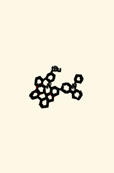 CC(C)(C)c1ccc(N(c2cccc(-c3ccc4c(c3)c3ccccc3n4-c3ccccc3)c2)c2ccccc2-c2cccc3cccc(-c4ccccc4)c23)c(-c2ccccc2)c1